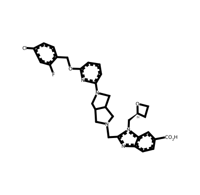 O=C(O)c1ccc2nc(CN3CC4CN(c5cccc(OCc6ccc(Cl)cc6F)n5)CC4C3)n(C[C@@H]3CCO3)c2c1